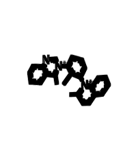 Cc1c(-[n+]2cnc3ccccc3c2C)cccc1-[n+]1c(C)ccc2ccccc21